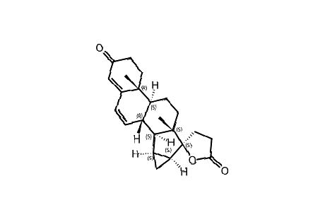 C[C@]12CCC(=O)C=C1C=C[C@H]1[C@@H]3[C@@H]4C[C@@H]4[C@@]4(CCC(=O)O4)[C@@]3(C)CC[C@@H]12